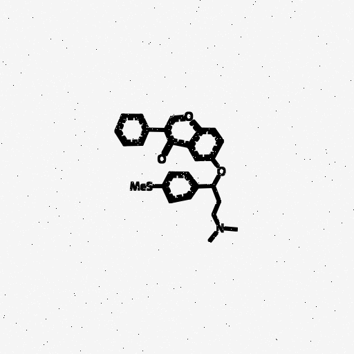 CSc1ccc(C(CCN(C)C)Oc2ccc3occ(-c4ccccc4)c(=O)c3c2)cc1